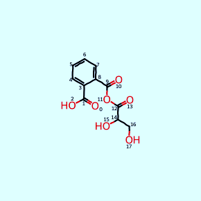 O=C(O)c1ccccc1C(=O)OC(=O)C(O)CO